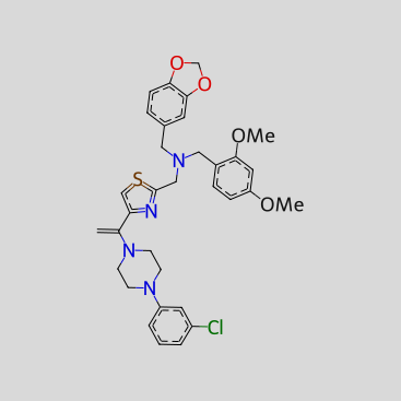 C=C(c1csc(CN(Cc2ccc3c(c2)OCO3)Cc2ccc(OC)cc2OC)n1)N1CCN(c2cccc(Cl)c2)CC1